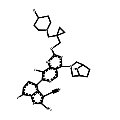 N#Cc1c(N)sc2c(F)ccc(-c3ncc4c(N5CC6CCC(C5)N6)nc(OCC5(CN6CCC(F)CC6)CC5)nc4c3F)c12